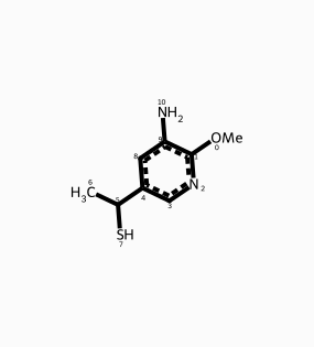 COc1ncc(C(C)S)cc1N